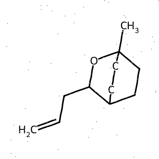 C=CCC1OC2(C)CCC1CC2